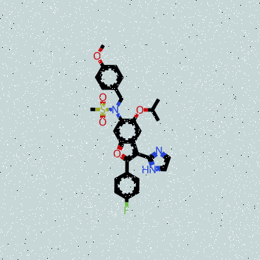 COc1ccc(CN(c2cc3oc(-c4ccc(F)cc4)c(-c4ncc[nH]4)c3cc2OC(C)C)S(C)(=O)=O)cc1